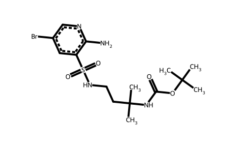 CC(C)(CCNS(=O)(=O)c1cc(Br)cnc1N)NC(=O)OC(C)(C)C